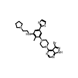 Cc1c(NCCN2CCCC2)cc(-c2nccs2)cc1N1CCN(c2ncnc3[nH]nc(Br)c23)CC1